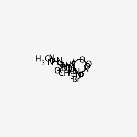 CC(=O)c1nn(CC(=O)N2C3C[C@@]34CCOCC3CN(CCO3)Cc3ccc(Br)nc3NC(=O)[C@@H]2C4)c2cnc(-c3cnc(C)nc3)cc12